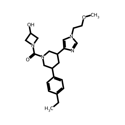 CCc1ccc(C2CC(c3cn(CCOC)cn3)CN(C(=O)N3CC(O)C3)C2)cc1